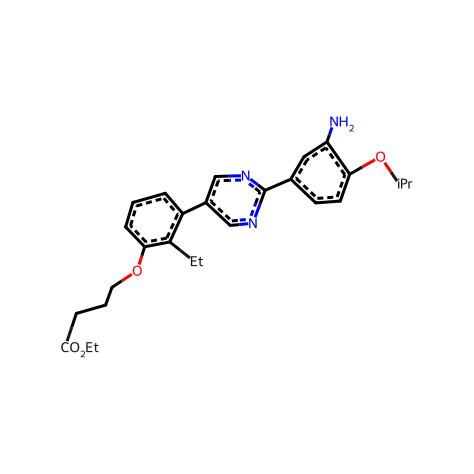 CCOC(=O)CCCOc1cccc(-c2cnc(-c3ccc(OC(C)C)c(N)c3)nc2)c1CC